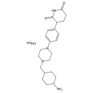 Cl.Cl.NC1CCC(CN2CCN(c3ccc(C4CCC(=O)NC4=O)cc3)CC2)CC1